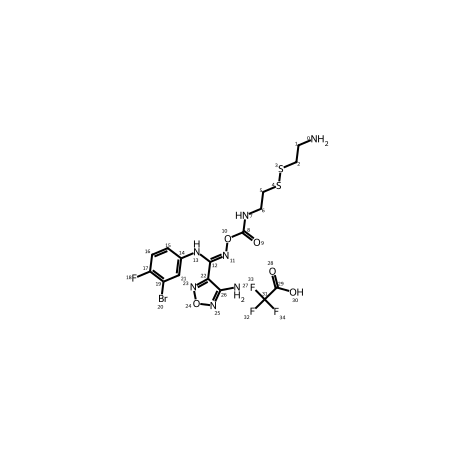 NCCSSCCNC(=O)O/N=C(\Nc1ccc(F)c(Br)c1)c1nonc1N.O=C(O)C(F)(F)F